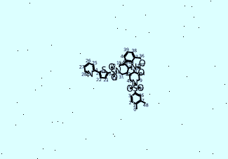 Cc1ccc(S(=O)(=O)N2CCC([N+]3(C4CCN(S(=O)(=O)c5ccc(-c6ccccn6)s5)CC4)C(=O)OCc4cccc(C)c43)CC2)cc1C